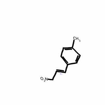 Cc1ccc(/C=C/C[N+](=O)[O-])cc1